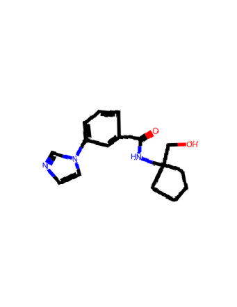 O=C(NC1(CO)CCCC1)c1cccc(-n2ccnc2)c1